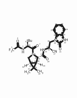 CC(C)(C)[C@H](NC(=O)C(F)(F)F)C(=O)N1C[C@H]2[C@@H]([C@H]1C(=O)N[C@H](C#N)Cn1c(=O)[nH]c3ccccc31)C2(C)C